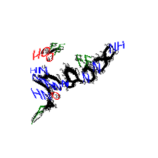 CNc1cc(N2CCc3c(CN4CC[C@@H](N5CCC6(CCNCC6)CC5)C(F)(F)C4)cccc32)nn2c(C(=O)N[C@@H]3C[C@@H]3F)cnc12.O=C(O)C(F)(F)F